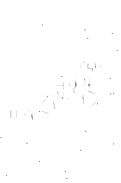 COc1ccc(NCC(=O)c2ccccc2NCC(=O)O)cc1